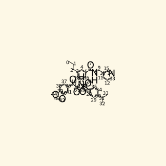 CCCc1cc(C(=O)NCc2cccnc2)ccc1OC(C(=O)NS(=O)(=O)c1ccc(C(C)C)cc1)c1ccc2c(c1)OCO2